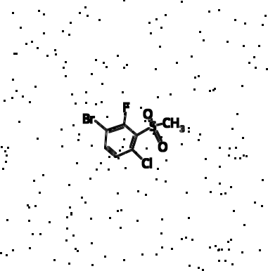 CS(=O)(=O)c1c(Cl)ccc(Br)c1F